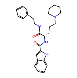 O=C(N[C@@H](CCCN1CCCCC1)C(=O)NCCc1ccccc1)c1cc2ccccc2[nH]1